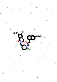 COc1ccc2c(CC(O)CN3CCCCC(CN4CCc5cc(C)c(C)cc5C4=O)C3)cccc2c1.Cl